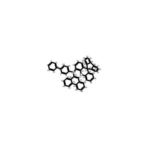 c1ccc(-c2ccc(N(c3cccc4c3Oc3ccccc3C43c4ccccc4-c4ccccc43)c3cc4ccccc4c4ccccc34)cc2)cc1